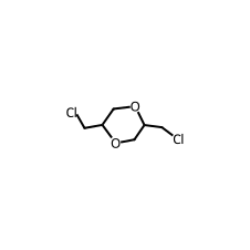 ClCC1COC(CCl)CO1